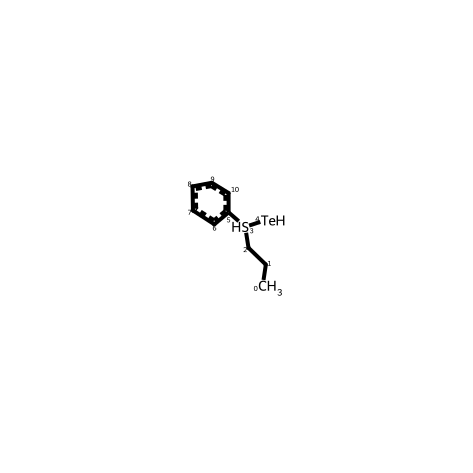 CCC[SH]([TeH])c1ccccc1